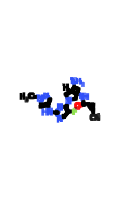 Cn1cc(Nc2ncc(F)c(N3C[C@H]4[C@@H](N)C[C@@]4(NC(=O)[C@@H]4C[C@H]4C#N)C3)n2)cn1